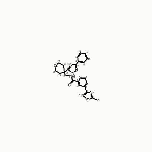 Cc1nc(-c2cccc(C(=O)NCC3(c4nc(-c5ccccc5)n[nH]4)CCOCC3)c2)no1